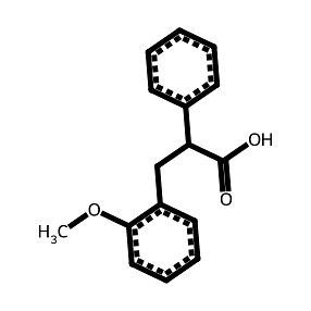 COc1ccccc1CC(C(=O)O)c1ccccc1